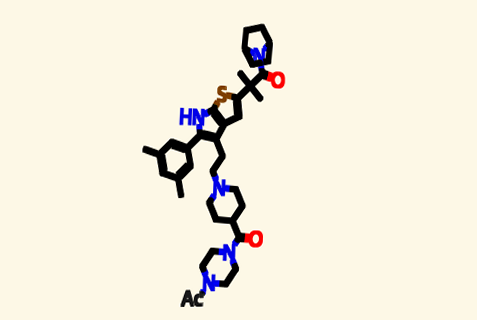 CC(=O)N1CCN(C(=O)C2CCN(CCc3c(-c4cc(C)cc(C)c4)[nH]c4sc(C(C)(C)C(=O)N5C6CCC5CC6)cc34)CC2)CC1